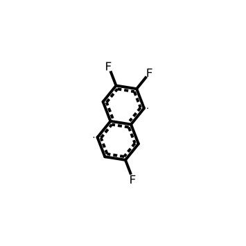 Fc1c[c]c2cc(F)c(F)[c]c2c1